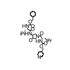 CC(C)C[C@H](NC(=O)OCc1ccccc1)C(=O)NC1CN(C(=O)[C@H](CC(C)C)NC(=O)OCc2ccncc2)CC1=O